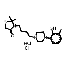 Cc1cccc(N2CCN(CCCCN3C(=O)CSC3(C)C)CC2)c1S.Cl.Cl